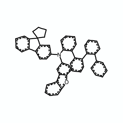 c1ccc(-c2ccccc2-c2ccccc2-c2ccccc2N(c2ccc3c(c2)C2(CCCC2)c2ccccc2-3)c2ccc3oc4ccccc4c3c2)cc1